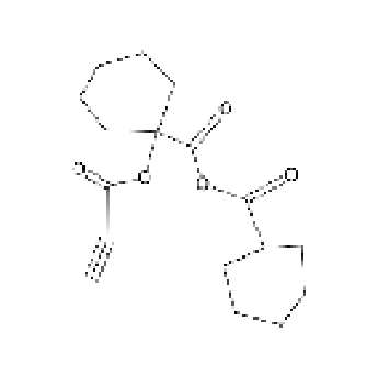 C#CC(=O)OC1(C(=O)OC(=O)C2CCCCC2)CCCCC1